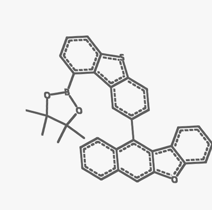 CC1(C)OB(c2cccc3sc4ccc(-c5c6ccccc6cc6oc7ccccc7c56)cc4c23)OC1(C)C